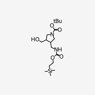 CC(C)(C)OC(=O)N1CC(CO)C(CNC(=O)OCC[Si](C)(C)C)C1